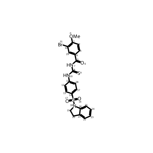 COc1ccc(C(=O)NC(=S)Nc2ccc(S(=O)(=O)N3CCc4ccccc43)cc2)cc1Br